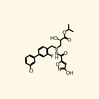 CC(C)OC(=O)[C@H](O)CN(Cc1ccc(-c2cccc(Cl)c2)cc1F)NC(=O)c1cc(O)no1